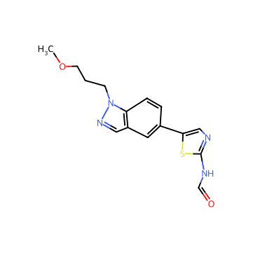 COCCCn1ncc2cc(-c3cnc(NC=O)s3)ccc21